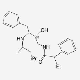 CCC(C(=O)NC[C@@H](O)C(Cc1ccccc1)NC(C)CC(C)C)c1ccccc1